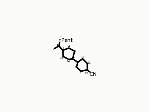 CCCCCC(C)C1CCC(C2CCC(C#N)CC2)CC1